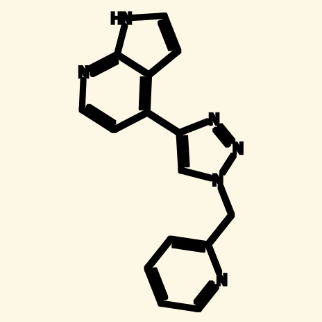 c1ccc(Cn2cc(-c3ccnc4[nH]ccc34)nn2)nc1